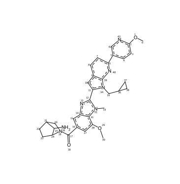 COc1ccc(-c2ccc3cc(-c4nc5cc(C(=O)N6CC7CCC6C7N)cc(OC)c5n4C)n(CC4CC4)c3n2)cn1